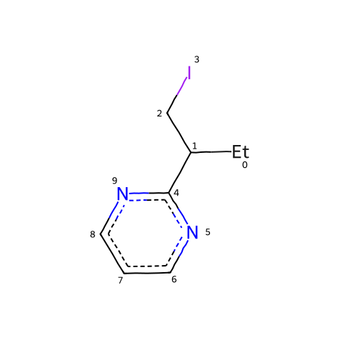 CCC(CI)c1ncccn1